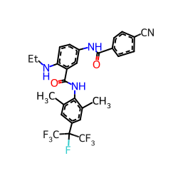 CCNc1ccc(NC(=O)c2ccc(C#N)cc2)cc1C(=O)Nc1c(C)cc(C(F)(C(F)(F)F)C(F)(F)F)cc1C